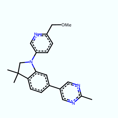 COCc1ccc(N2CC(C)(C)c3ccc(-c4cnc(C)nc4)cc32)cn1